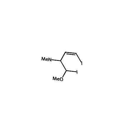 CNC(/C=C\I)C(I)OC